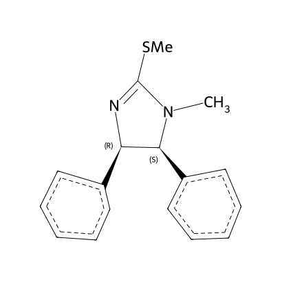 CSC1=N[C@H](c2ccccc2)[C@H](c2ccccc2)N1C